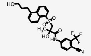 CC(O)(CS(=O)(=O)c1cccc2c(CCCO)cccc12)C(=O)Nc1ccc(C#N)c(C(F)(F)F)c1